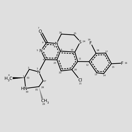 C[C@H]1CN(c2nc(=O)n3c4c(c(-c5ccc(F)cc5F)c(Cl)cc24)SCC3)C[C@H](C)N1